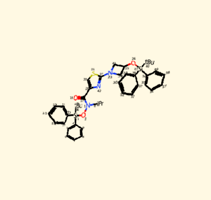 CC(C)N(O[Si](c1ccccc1)(c1ccccc1)C(C)(C)C)C(=O)c1csc(N2CC(O[Si](c3ccccc3)(c3ccccc3)C(C)(C)C)C2)n1